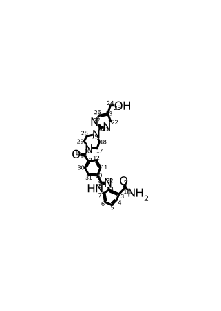 NC(=O)c1cccc2[nH]c(-c3ccc(C(=O)N4CCN(c5ncc(CO)cn5)CC4)cc3)nc12